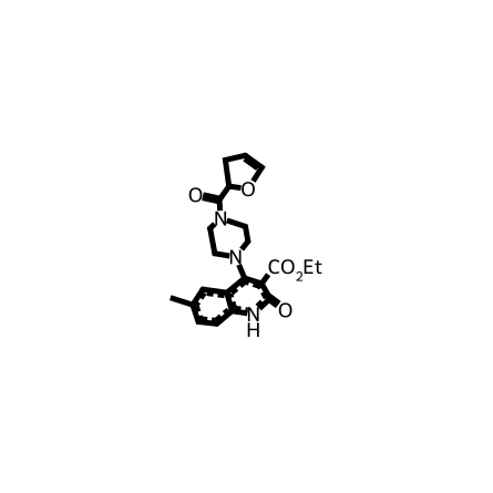 CCOC(=O)c1c(N2CCN(C(=O)C3CC=CO3)CC2)c2cc(C)ccc2[nH]c1=O